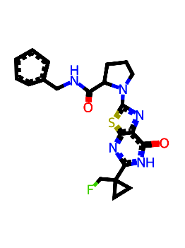 O=C(NCc1ccccc1)C1CCCN1c1nc2c(=O)[nH]c(C3(CF)CC3)nc2s1